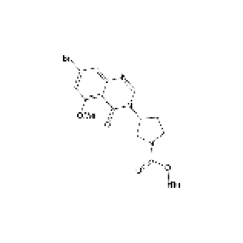 COc1cc(Br)cc2ncn(C3CCN(C(=O)OC(C)(C)C)C3)c(=O)c12